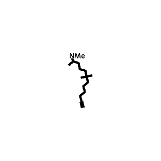 [C]#CCCCCC(C)(C)CCCC(C)NC